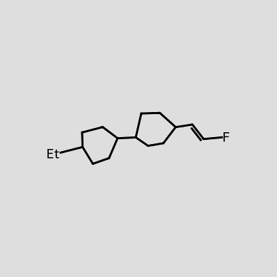 CCC1CCC(C2CCC(C=CF)CC2)CC1